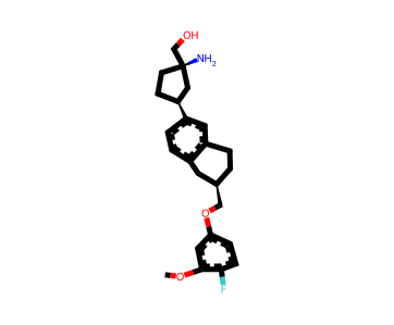 COc1cc(OC[C@@H]2CCc3cc([C@H]4CC[C@](N)(CO)C4)ccc3C2)ccc1F